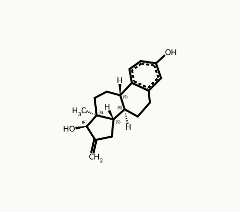 C=C1C[C@H]2[C@@H]3CCc4cc(O)ccc4[C@H]3CC[C@]2(C)[C@@H]1O